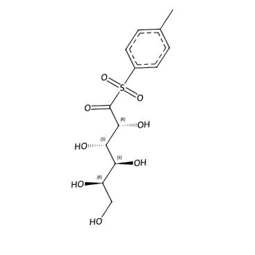 Cc1ccc(S(=O)(=O)C(=O)[C@H](O)[C@@H](O)[C@@H](O)[C@H](O)CO)cc1